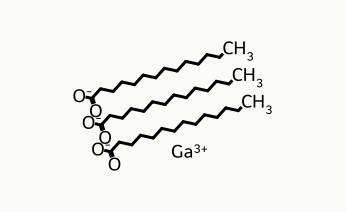 CCCCCCCCCCCCCC(=O)[O-].CCCCCCCCCCCCCC(=O)[O-].CCCCCCCCCCCCCC(=O)[O-].[Ga+3]